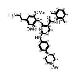 COc1cc(CCN)cc(OC)c1Oc1nc(Nc2ccc(N3CCN(C(C)C)CC3)cc2)ncc1C(=O)Nc1c(C)cccc1C